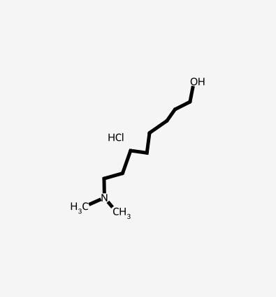 CN(C)CCCCCCCCO.Cl